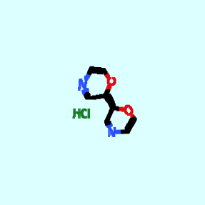 C1=COC(=C2C=NC=CO2)C=N1.Cl